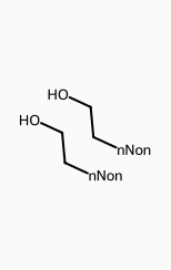 CCCCCCCCCCCO.CCCCCCCCCCCO